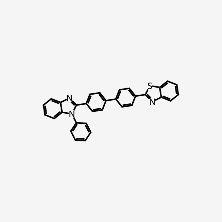 c1ccc(-n2c(-c3ccc(-c4ccc(-c5nc6ccccc6s5)cc4)cc3)nc3ccccc32)cc1